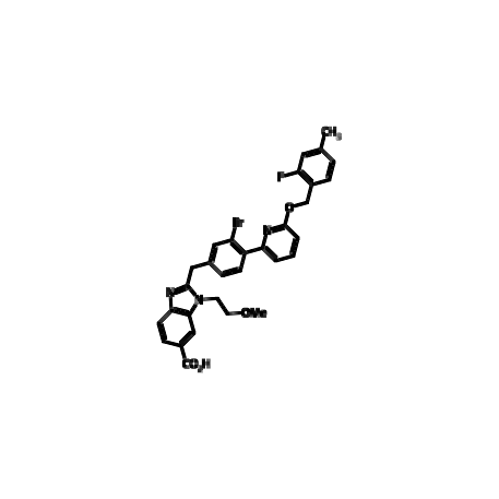 COCCn1c(Cc2ccc(-c3cccc(OCc4ccc(C)cc4F)n3)c(Br)c2)nc2ccc(C(=O)O)cc21